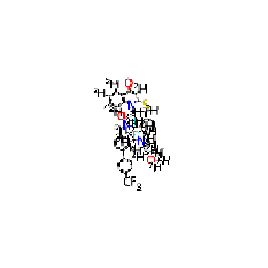 [2H]c1c(C)c([2H])c2c(c1[2H])c(=O)c([2H])c(SC([2H])([2H])c1cccc(F)c1F)n2CC(=O)N(Cc1ccc(-c2ccc(C(F)(F)F)cc2)cc1)C1([2H])C([2H])([2H])C([2H])([2H])N(C([2H])([2H])C([2H])([2H])OC([2H])([2H])[2H])C([2H])([2H])C1([2H])[2H]